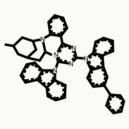 CC1CC2CC(C)N(c3ccccc3-c3nc(-n4c5ccccc5c5ccccc54)nc(-n4c5ccccc5c5cc(-c6ccccc6)ccc54)n3)C(C1)C2